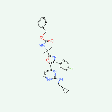 CC(C)(NC(=O)OCc1ccccc1)c1nc(-c2ccc(F)cc2)c(-c2ccnc(NCC3CC3)n2)o1